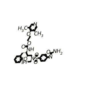 Cc1cncc(C)c1OCCOC(=O)N[C@@H](Cc1ccccc1)[C@H](O)CN(CC(C)C)S(=O)(=O)c1ccc2nc(N)oc2c1